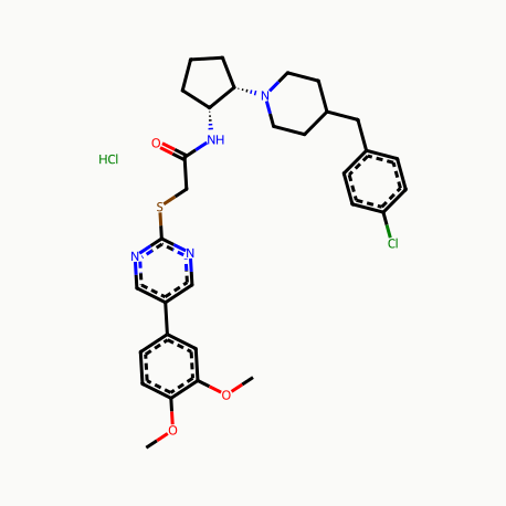 COc1ccc(-c2cnc(SCC(=O)N[C@@H]3CCC[C@@H]3N3CCC(Cc4ccc(Cl)cc4)CC3)nc2)cc1OC.Cl